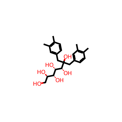 Cc1ccc(CC(O)(Cc2ccc(C)c(C)c2)[C@H](O)[C@@H](O)[C@H](O)[C@H](O)CO)cc1C